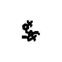 Cn1nc(Cc2cccc(C(F)(F)F)c2)c(C(=O)O)c1C(F)(F)F